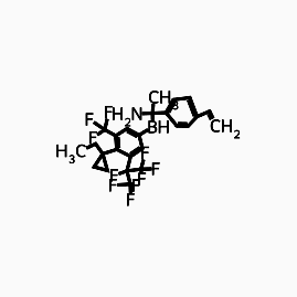 C=Cc1ccc(C(C)(N)Bc2cc(C(F)(F)F)c(C3(CC)CC3)c(C(F)(C(F)(F)F)C(F)(F)F)c2)cc1